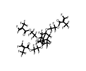 O=C(OC(F)(F)C(F)(F)OC12C(F)(F)C3(F)C(F)(F)C(OC(F)(F)C(F)(F)OC(=O)C(=C(F)F)C(F)(F)F)(C1(F)F)C(F)(F)C(OC(F)(F)C(F)(F)OC(=O)C(=C(F)F)C(F)(F)F)(C3(F)F)C2(F)F)C(=C(F)F)C(F)(F)F